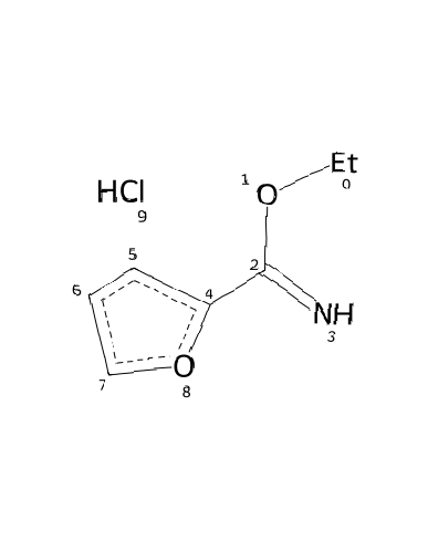 CCOC(=N)c1ccco1.Cl